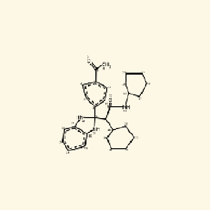 CC(=O)c1ccc(C2(C(C(=O)NC3CCCCC3)C3CCCCC3)Nc3ccccc3N2)cc1